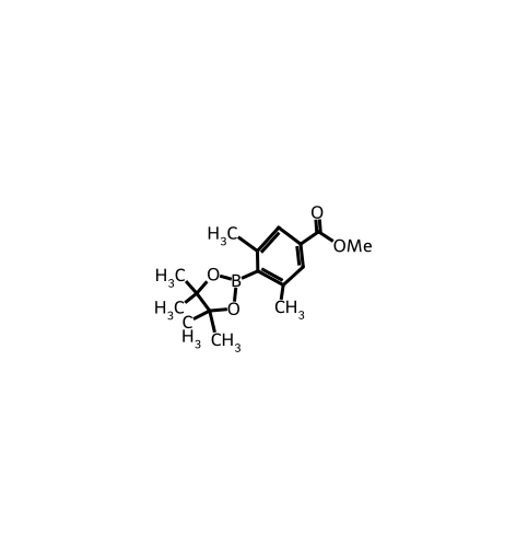 COC(=O)c1cc(C)c(B2OC(C)(C)C(C)(C)O2)c(C)c1